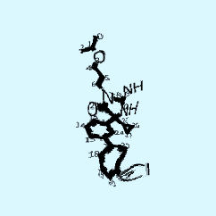 CC(C)OCCCN1C(=N)NC(c2cccc(-c3cccc(Cl)c3)c2)(C2CC2)C1=O